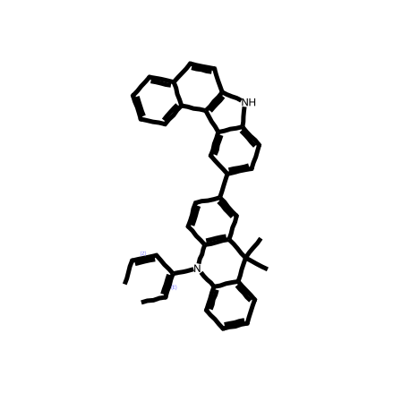 C/C=C\C(=C/C)N1c2ccccc2C(C)(C)c2cc(-c3ccc4[nH]c5ccc6ccccc6c5c4c3)ccc21